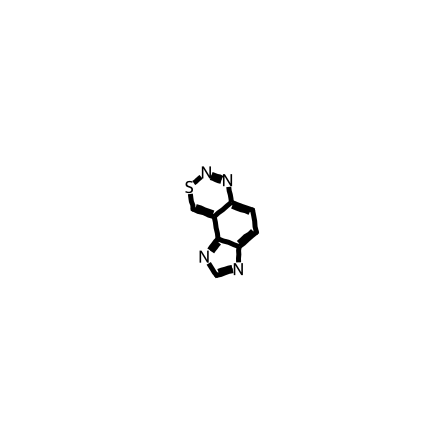 c1nc2ccc3nnscc3c2n1